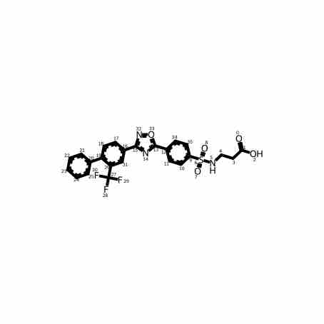 O=C(O)CCNS(=O)(=O)c1ccc(-c2nc(-c3ccc(-c4ccccc4)c(C(F)(F)F)c3)no2)cc1